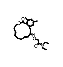 CCN(CC)C(=O)CO/N=C1\C=C\CC/C=C/CCOC(=O)c2c(C)cc(C)cc2C1